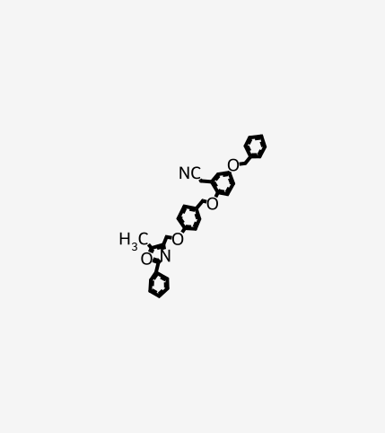 Cc1oc(-c2ccccc2)nc1COc1ccc(COc2ccc(OCc3ccccc3)cc2CC#N)cc1